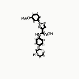 COc1cccc(-n2ncc(C(=O)Nc3ccc([C@H]4CNCCO4)cc3)n2)c1.Cl